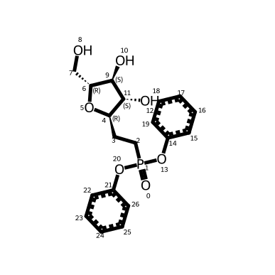 O=P(CC[C@H]1O[C@H](CO)[C@@H](O)[C@@H]1O)(Oc1ccccc1)Oc1ccccc1